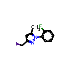 Cc1cc(CI)nn1-c1ccccc1F